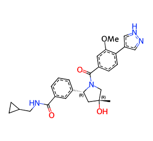 COc1cc(C(=O)N2C[C@](C)(O)C[C@@H]2c2cccc(C(=O)NCC3CC3)c2)ccc1-c1cn[nH]c1